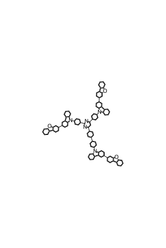 c1ccc2c(c1)oc1cc(-c3ccc4c(c3)c3ccccc3n4-c3ccc(-c4ccc(-c5cc(-c6ccc(-n7c8ccccc8c8cc(-c9ccc%10c(c9)oc9ccccc9%10)ccc87)cc6)nc(-c6ccc(-n7c8ccccc8c8cc(-c9ccc%10c(c9)oc9ccccc9%10)ccc87)cc6)n5)cc4)cc3)ccc12